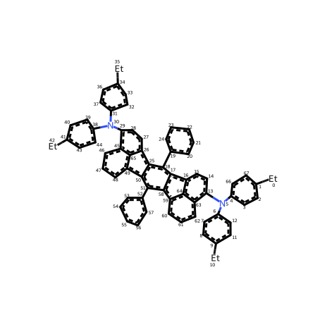 CCc1ccc(N(c2ccc(CC)cc2)c2ccc3c4c(-c5ccccc5)c5c6ccc(N(c7ccc(CC)cc7)c7ccc(CC)cc7)c7cccc(c5c(-c5ccccc5)c4c4cccc2c43)c76)cc1